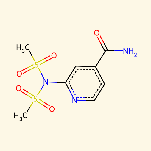 CS(=O)(=O)N(c1cc(C(N)=O)ccn1)S(C)(=O)=O